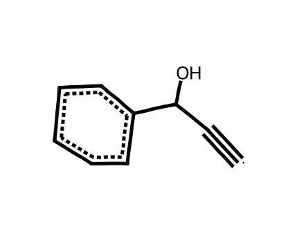 [C]#CC(O)c1ccccc1